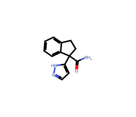 NC(=O)C1(c2ccn[nH]2)CCc2ccccc21